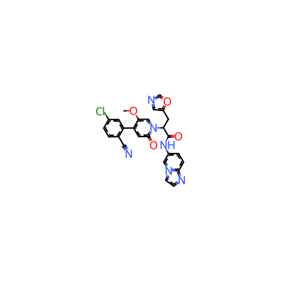 COc1cn(C(Cc2cnco2)C(=O)Nc2ccc3nccn3c2)c(=O)cc1-c1cc(Cl)ccc1C#N